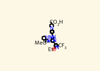 CCOc1cc(-c2cc(N(C)CC3(COC)CCCCC3)c3[nH]c(-c4ccc(N5CCC(C(=O)O)CC5)cc4)nc3n2)cc(C(F)(F)F)n1